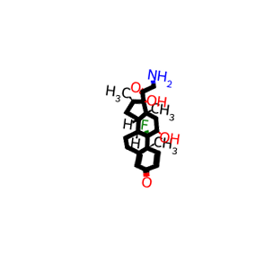 C[C@H]1C[C@H]2[C@@H]3CCC4=CC(=O)C=C[C@]4(C)C3(F)[C@@H](O)C[C@]2(C)[C@@]1(O)C(=O)CN